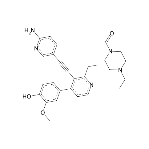 CCN1CCN(C=O)CC1.CCc1nccc(-c2ccc(O)c(OC)c2)c1C#Cc1ccc(N)nc1